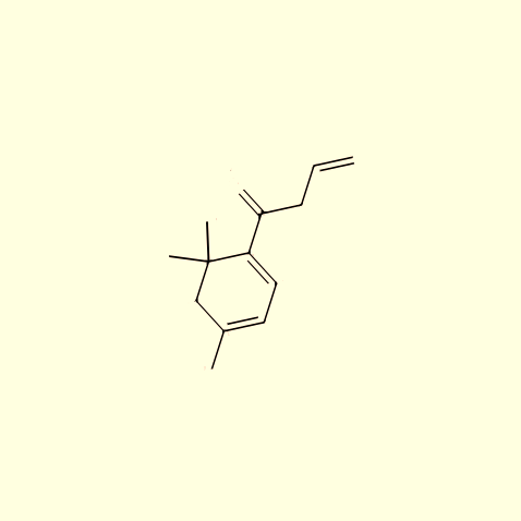 C=CCC(=O)C1=CC=C(C)CC1(C)C